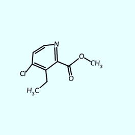 CCc1c(Cl)ccnc1C(=O)OC